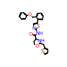 CCC(NC(=O)Cc1cccs1)C(=O)Nc1ncc(-c2ccccc2COc2ccccc2)s1